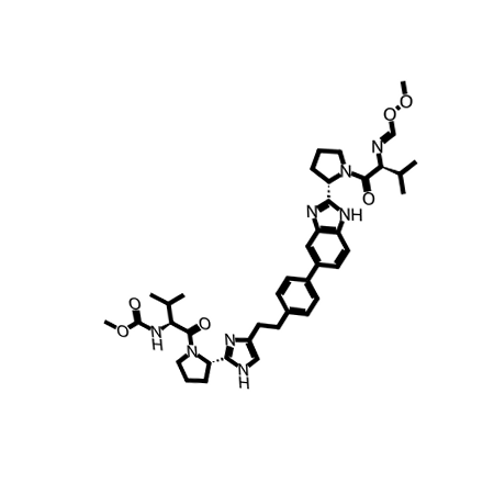 COO/C=N/[C@H](C(=O)N1CCC[C@H]1c1nc2cc(-c3ccc(CCc4c[nH]c([C@@H]5CCCN5C(=O)[C@@H](NC(=O)OC)C(C)C)n4)cc3)ccc2[nH]1)C(C)C